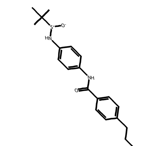 CCCCc1ccc(C(=O)Nc2ccc(N[S+]([O-])C(C)(C)C)cc2)cc1